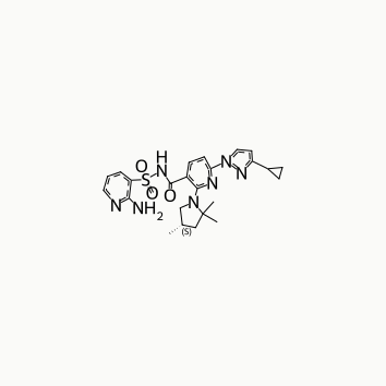 C[C@@H]1CN(c2nc(-n3ccc(C4CC4)n3)ccc2C(=O)NS(=O)(=O)c2cccnc2N)C(C)(C)C1